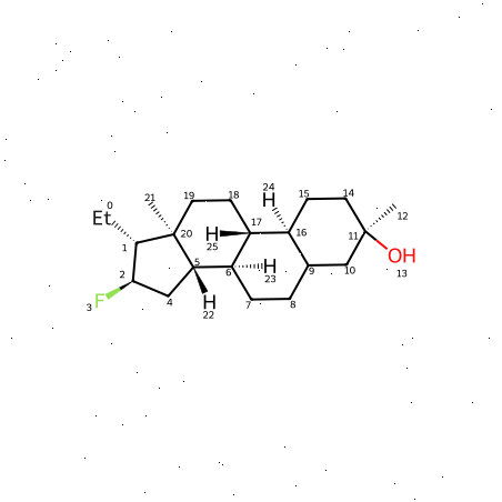 CC[C@H]1[C@H](F)C[C@H]2[C@@H]3CCC4C[C@](C)(O)CC[C@@H]4[C@H]3CC[C@@]21C